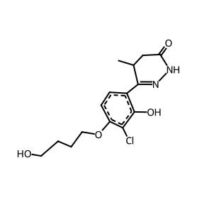 CC1CC(=O)NN=C1c1ccc(OCCCCO)c(Cl)c1O